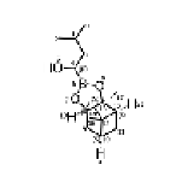 CC(C)C[C@H](O)B1O[C@@H]2C[C@@H]3C[C@@H](C3(C)C)[C@]2(C)O1